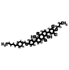 CCCCCC1CCC(COc2ccc(-c3ccc4c(c3O)C(=O)c3ccc(-c5cc(Cl)c(OCCCC)c(Cl)c5)c(O)c3C4=O)cc2)CC1